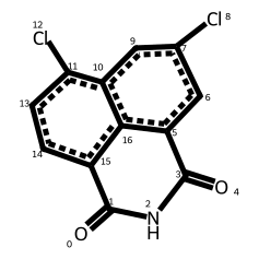 O=C1NC(=O)c2cc(Cl)cc3c(Cl)ccc1c23